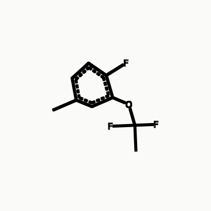 Cc1ccc(F)c(OC(C)(F)F)c1